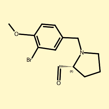 COc1ccc(CN2CCC[C@@H]2C=O)cc1Br